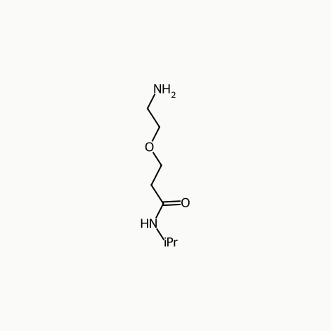 CC(C)NC(=O)CCOCCN